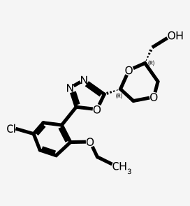 CCOc1ccc(Cl)cc1-c1nnc([C@H]2COC[C@@H](CO)O2)o1